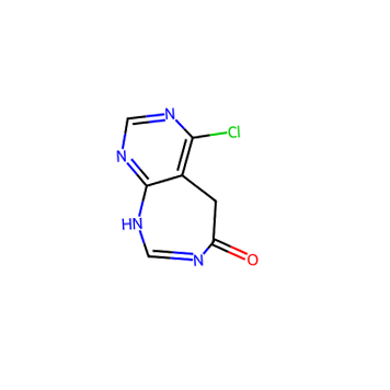 O=C1Cc2c(Cl)ncnc2NC=N1